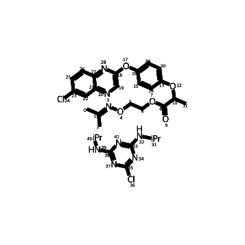 CC(C)=NOCCOC(=O)C(C)Oc1ccc(Oc2cnc3cc(Cl)ccc3n2)cc1.CC(C)Nc1nc(Cl)nc(NC(C)C)n1